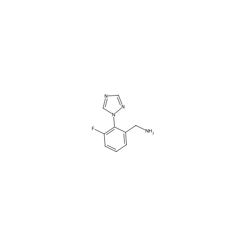 NCc1cccc(F)c1-n1cncn1